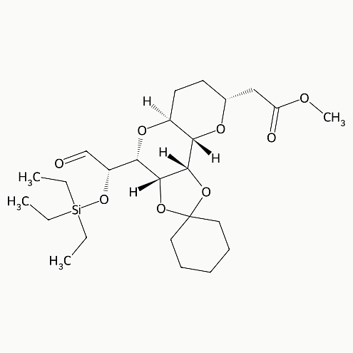 CC[Si](CC)(CC)O[C@H](C=O)[C@@H]1O[C@H]2CC[C@H](CC(=O)OC)O[C@@H]2[C@@H]2OC3(CCCCC3)O[C@@H]21